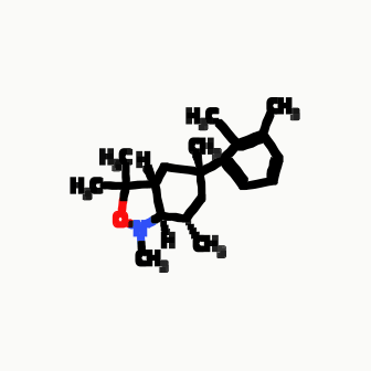 Cc1cccc([C@@]2(C)C[C@@H]3[C@@H]([C@@H](C)C2)N(C)OC3(C)C)c1C